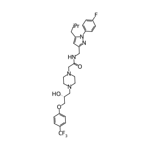 CC(C)Cc1cc(CNC(=O)CN2CCN(C[C@@H](O)COc3ccc(C(F)(F)F)cc3)CC2)nn1-c1ccc(F)cc1